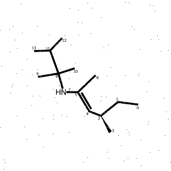 CC[C@@H](C)/C=C(\C)NC(C)(C)C(C)C